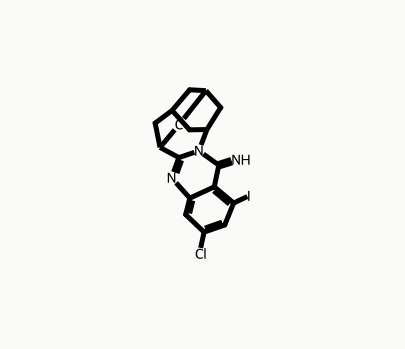 N=c1c2c(I)cc(Cl)cc2nc2n1C1CC3CC(CC2C3)C1